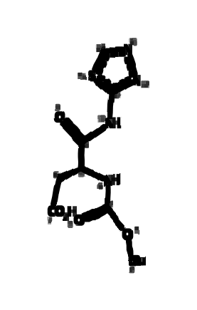 CC(C)(C)OC(=O)N[C@@H](CC(=O)O)C(=O)Nc1nncs1